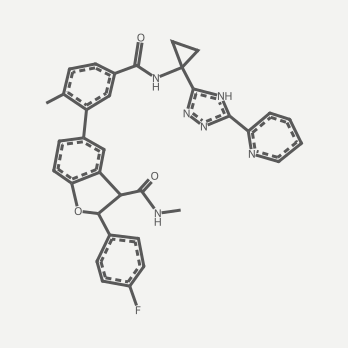 CNC(=O)C1c2cc(-c3cc(C(=O)NC4(c5nnc(-c6ccccn6)[nH]5)CC4)ccc3C)ccc2OC1c1ccc(F)cc1